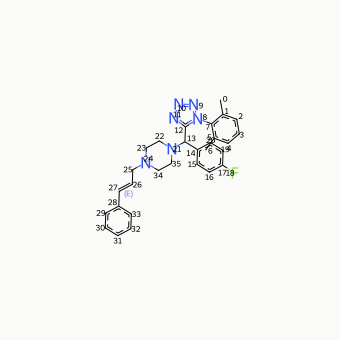 Cc1cccc(C)c1-n1nnnc1C(c1ccc(F)cc1)N1CCN(C/C=C/c2ccccc2)CC1